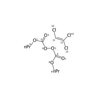 CCCOC(=O)OOC(=O)OCCC.ClC=C(Cl)Cl